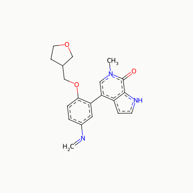 C=Nc1ccc(OCC2CCOC2)c(-c2cn(C)c(=O)c3[nH]ccc23)c1